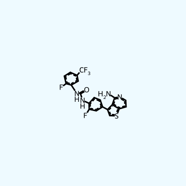 Nc1nccc2scc(-c3ccc(NC(=O)Nc4cc(C(F)(F)F)ccc4F)c(F)c3)c12